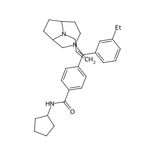 C=CCN1C2CCC1CN(C(c1ccc(C(=O)NC3CCCC3)cc1)c1cccc(CC)c1)CC2